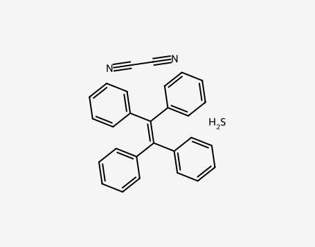 N#CC#N.S.c1ccc(C(=C(c2ccccc2)c2ccccc2)c2ccccc2)cc1